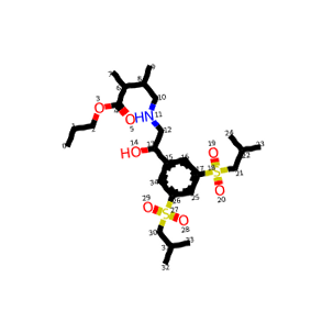 CCCOC(=O)C(C)C(C)CNCC(O)c1cc(S(=O)(=O)CC(C)C)cc(S(=O)(=O)CC(C)C)c1